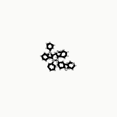 c1ccc(B2c3c(n(-c4ccccc4)c4ccccc34)-c3sc4ccccc4c3N2c2ccc3oc4ccncc4c3c2)cc1